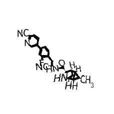 C[C@H]1[C@H]2[C@H]3C[C@H](N[C@@H]3C(=O)N[C@H](C#N)Cc3ccc(-c4ccc(C#N)nc4)cc3F)[C@@H]12